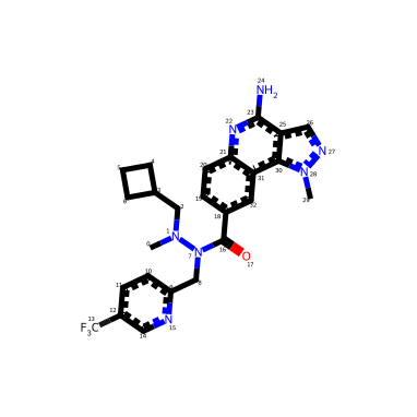 CN(CC1CCC1)N(Cc1ccc(C(F)(F)F)cn1)C(=O)c1ccc2nc(N)c3cnn(C)c3c2c1